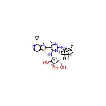 Cc1nc(N[C@@H]2C[C@@H]3C[C@H]([C@H]2C)C3(C)C)nc(N[C@@H]2C[C@H](CO)[C@@H](O)[C@H]2O)c1-c1nc2c(C3CC3)nccc2s1